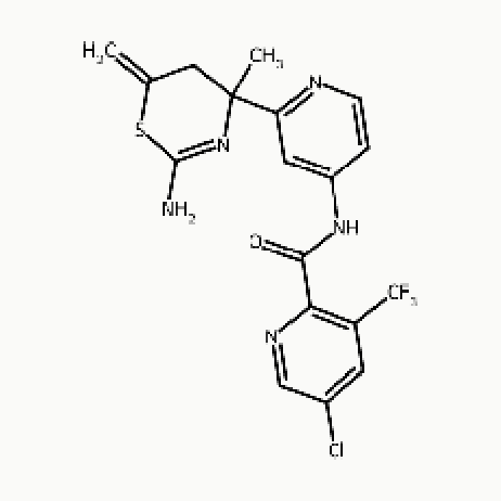 C=C1CC(C)(c2cc(NC(=O)c3ncc(Cl)cc3C(F)(F)F)ccn2)N=C(N)S1